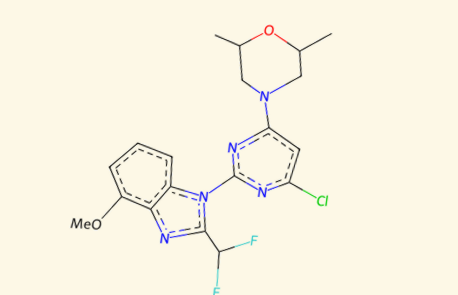 COc1cccc2c1nc(C(F)F)n2-c1nc(Cl)cc(N2CC(C)OC(C)C2)n1